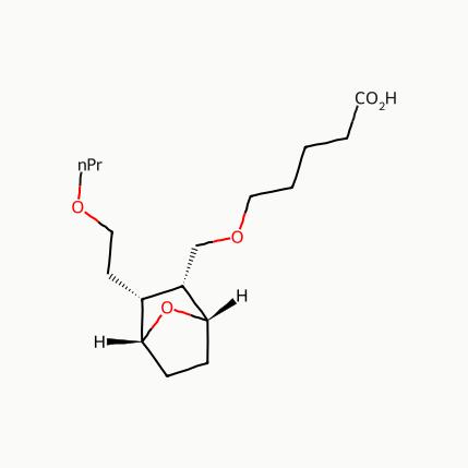 CCCOCC[C@@H]1[C@H](COCCCCC(=O)O)[C@@H]2CC[C@H]1O2